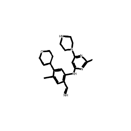 Cc1nc(Nc2cc(C3CCOCC3)c(C)cc2C=N)cc(N2CCNCC2)n1